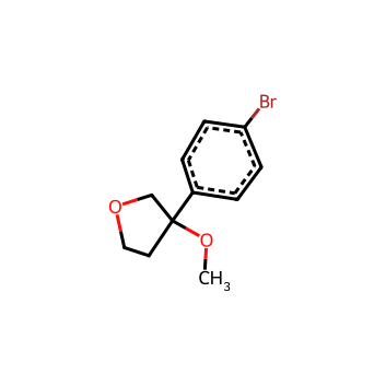 COC1(c2ccc(Br)cc2)CCOC1